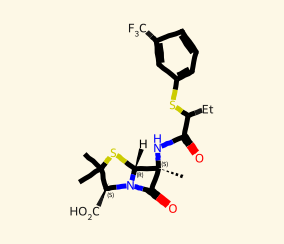 CCC(Sc1cccc(C(F)(F)F)c1)C(=O)N[C@@]1(C)C(=O)N2[C@@H](C(=O)O)C(C)(C)S[C@@H]21